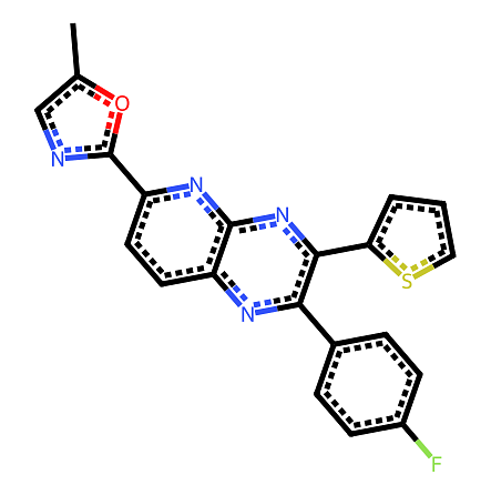 Cc1cnc(-c2ccc3nc(-c4ccc(F)cc4)c(-c4cccs4)nc3n2)o1